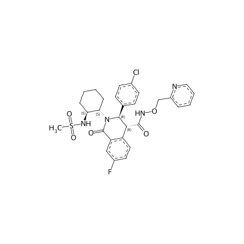 CS(=O)(=O)N[C@H]1CCCC[C@@H]1N1C(=O)c2cc(F)ccc2[C@@H](C(=O)NOCc2ccccn2)[C@@H]1c1ccc(Cl)cc1